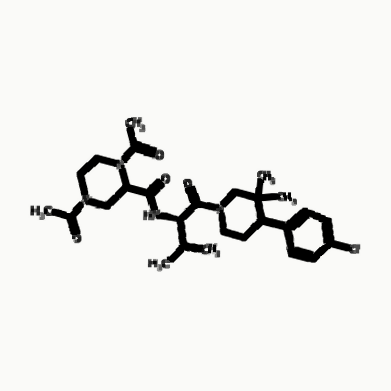 CC(=O)N1CCN(C(C)=O)C(C(=O)N[C@@H](C(=O)N2CCC(c3ccc(Cl)cc3)C(C)(C)C2)C(C)C)C1